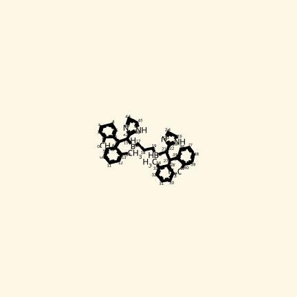 Cc1ccccc1C(c1ccccc1C)C(BCCCBC(c1ncc[nH]1)C(c1ccccc1C)c1ccccc1C)c1ncc[nH]1